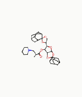 CC(CN1CCCCC1)C(=O)OC1C(C2COC3(O2)C2CC4CC(C2)CC3C4)OC2OC3(OC21)C1CC2CC(C1)CC3C2